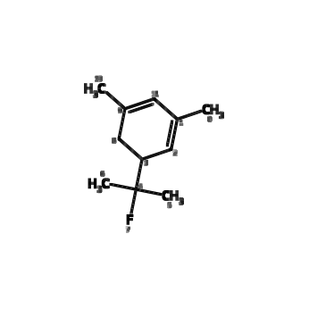 CC1=CC(C(C)(C)F)CC(C)=C1